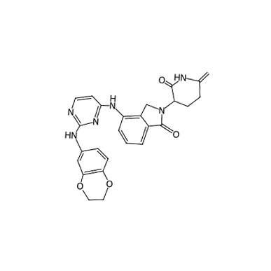 C=C1CCC(N2Cc3c(Nc4ccnc(Nc5ccc6c(c5)OCCO6)n4)cccc3C2=O)C(=O)N1